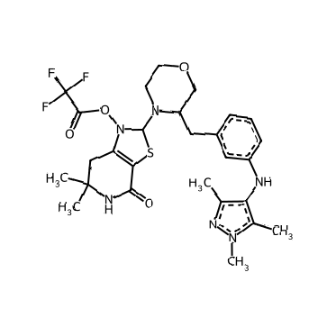 Cc1nn(C)c(C)c1Nc1cccc(CC2COCCN2C2SC3=C(CC(C)(C)NC3=O)N2OC(=O)C(F)(F)F)c1